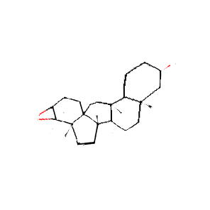 C[C@]12CC[C@@H](O)C[C@@H]1CC[C@H]1[C@@H]3CC[C@@H]4[C@H]5O[C@H]5CCC43CC[C@@H]12